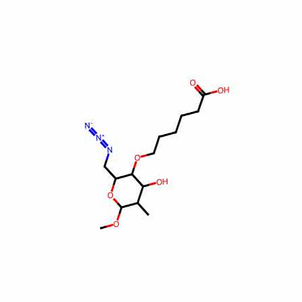 COC1OC(CN=[N+]=[N-])C(OCCCCCC(=O)O)C(O)C1C